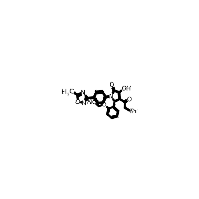 Cc1nc(-c2ccc(N3C(=O)C(O)=C(C(=O)CC(C)C)C3c3ccccc3OCC#N)cc2)no1